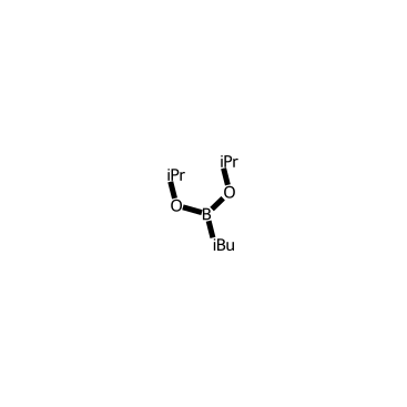 CCC(C)B(OC(C)C)OC(C)C